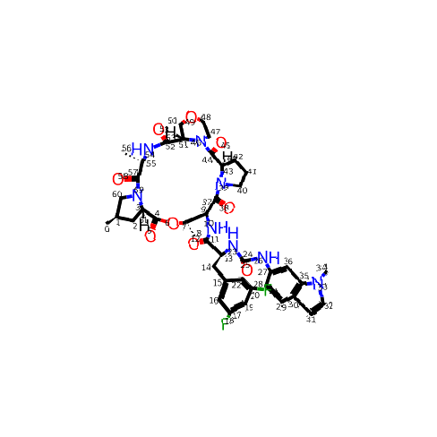 C[C@@H]1C[C@H]2C(=O)O[C@@H](C)[C@H](NC(=O)[C@H](Cc3cc(F)cc(F)c3)NC(=O)Nc3ccc4ccn(C)c4c3)C(=O)N3CCC[C@H]3C(=O)N3CCOC[C@H]3C(=O)N[C@@H](C)C(=O)N2C1